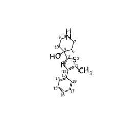 Cc1sc(C2(O)CCNCC2)nc1-c1ccccc1